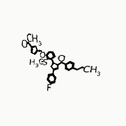 CCCc1ccc(C(=O)C2C=C(c3ccc(F)cc3)CC2c2cccc(OCC3=CC=C(C(C)=O)C3)c2SC)cc1